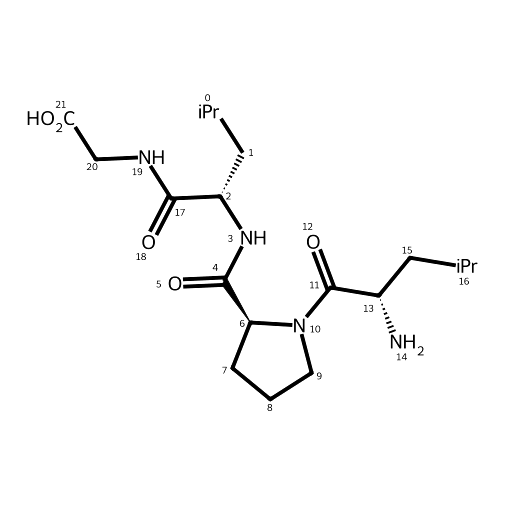 CC(C)C[C@H](NC(=O)[C@@H]1CCCN1C(=O)[C@@H](N)CC(C)C)C(=O)NCC(=O)O